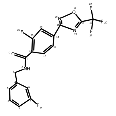 O=C(NCc1cccc(F)c1)c1ccc(-c2noc(C(F)(F)F)n2)cc1F